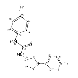 Cc1ccc(N2CC[C@H](NC(=O)Nc3ccc(C(C)C)cc3)C2)nn1